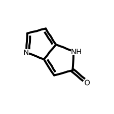 O=C1C=C2N=CC=C2N1